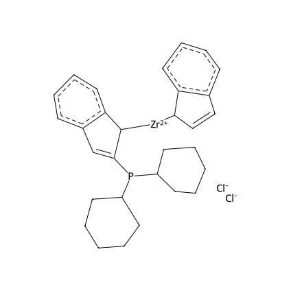 C1=C[CH]([Zr+2][CH]2C(P(C3CCCCC3)C3CCCCC3)=Cc3ccccc32)c2ccccc21.[Cl-].[Cl-]